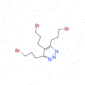 BrCCCc1nnnc(CCCBr)c1CCCBr